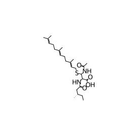 CC[C@H](C)CC(=O)N[C@H](C(=O)O)C(NC(C)=O)SC/C=C(\C)CC/C=C(\C)CCC=C(C)C